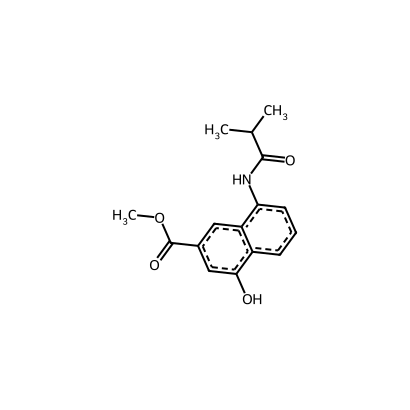 COC(=O)c1cc(O)c2cccc(NC(=O)C(C)C)c2c1